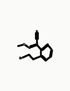 CON=C(C#N)c1ccccc1CCBr